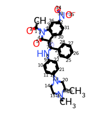 CC(=O)N1C(=O)/C(=C(\Nc2ccc(N3CCN(C)[C@@H](C)C3)cc2)c2ccccc2)c2ccc([N+](=O)[O-])cc21